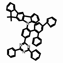 CC1(C)c2ccccc2-c2cc3c4ccccc4n(-c4ccc(-c5nc(-c6ccccc6)nc(-c6ccccc6)n5)cc4-c4ccc(-c5ccccc5)cc4-c4ccccc4)c3cc21